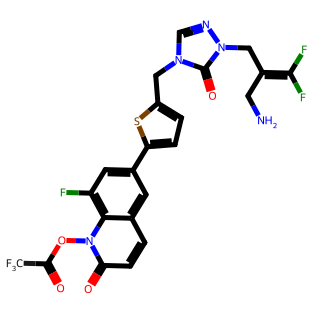 NCC(Cn1ncn(Cc2ccc(-c3cc(F)c4c(ccc(=O)n4OC(=O)C(F)(F)F)c3)s2)c1=O)=C(F)F